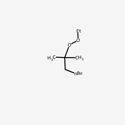 CCCCCC(C)(C)OOCC